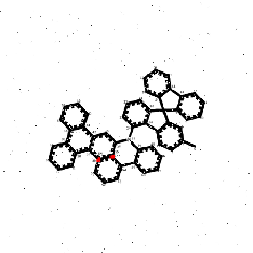 Cc1ccc2c(c1)C1(c3ccccc3-c3ccccc31)c1cccc(N(c3ccc4c5ccccc5c5ccccc5c4c3)c3ccccc3-c3ccccc3)c1-2